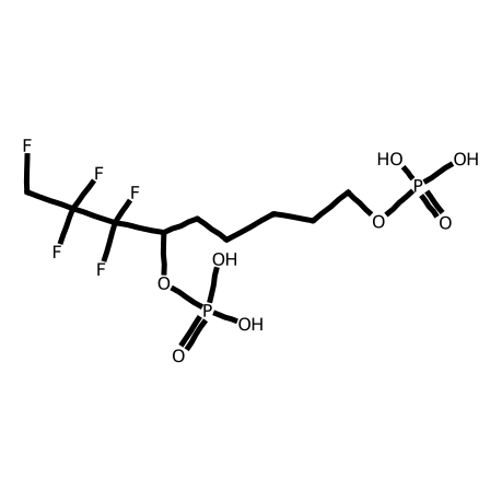 O=P(O)(O)OCCCCCC(OP(=O)(O)O)C(F)(F)C(F)(F)CF